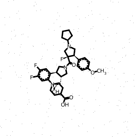 COC[C@H]1CN(C(=O)[C@]2(F)CN(C3CCCC3)C[C@H]2c2ccc(OC)cc2)C[C@@H]1c1cc(F)c(F)cc1N1CCC(C(=O)O)CC1